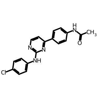 CC(=O)Nc1ccc(-c2ccnc(Nc3ccc(Cl)cc3)n2)cc1